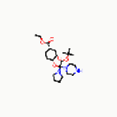 CCOC(=O)[C@H]1CC[C@H](OC(C(=O)OC(C)(C)C)(N2CCCC2)N2CCNCC2)CC1